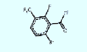 O=C(Cl)c1c(Br)ccc(C(F)(F)F)c1F